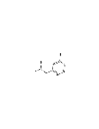 FC(F)Cc1cc(I)ccn1